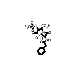 O=C(Cc1ccccc1)N[C@@H]1C(=O)N2C(C(=O)O)=C(OS(=O)(=O)C(F)(F)F)C(=O)[S+]([O-])[C@H]12